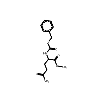 COC(=O)C(CCC(C)=O)NC(=O)OCc1ccccc1